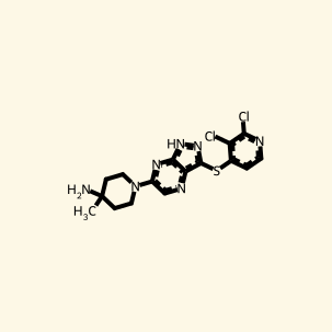 CC1(N)CCN(c2cnc3c(Sc4ccnc(Cl)c4Cl)n[nH]c3n2)CC1